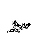 COc1ccc2cc(CNc3ccccc3)c(=O)n(CC(=O)Nc3ccc(F)cc3)c2c1